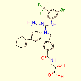 NC/N=C(/Nc1cc(Br)cc(C(F)(F)F)c1)N(Cc1ccc(C(=O)NC[C@@H](O)C(=O)O)cc1)c1ccc(C2=CCCCC2)cc1